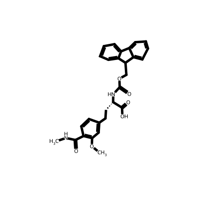 CNC(=O)c1ccc(CC[C@H](NC(=O)OCC2c3ccccc3-c3ccccc32)C(=O)O)cc1OC